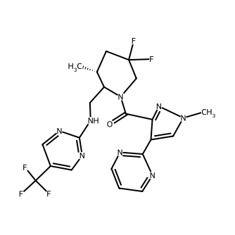 C[C@@H]1CC(F)(F)CN(C(=O)c2nn(C)cc2-c2ncccn2)C1CNc1ncc(C(F)(F)F)cn1